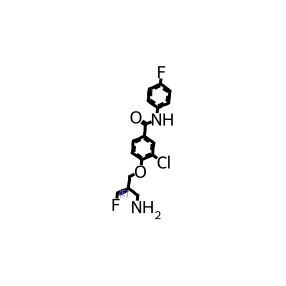 NC/C(=C\F)COc1ccc(C(=O)Nc2ccc(F)cc2)cc1Cl